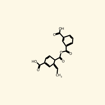 CC=C1C=C(C(=O)O)C=CC1C(=O)OC(=O)c1cccc(C(=O)O)c1